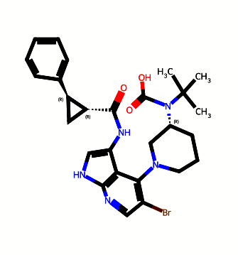 CC(C)(C)N(C(=O)O)[C@@H]1CCCN(c2c(Br)cnc3[nH]cc(NC(=O)[C@@H]4C[C@H]4c4ccccc4)c23)C1